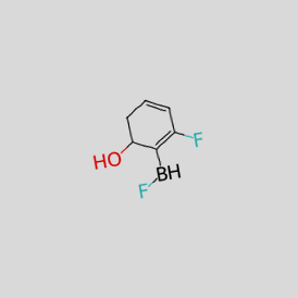 OC1CC=CC(F)=C1BF